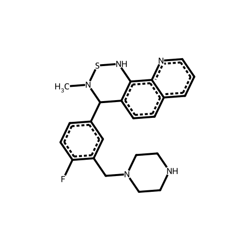 CN1SNc2c(ccc3cccnc23)C1c1ccc(F)c(CN2CCNCC2)c1